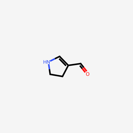 O=CC1=CNCC1